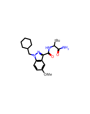 COc1ccc2c(c1)c(C(=O)NC(C(N)=O)C(C)(C)C)nn2CC1CCCCC1